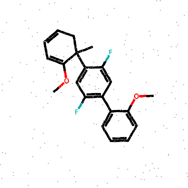 COC1=CC=CCC1(C)c1cc(F)c(-c2ccccc2OC)cc1F